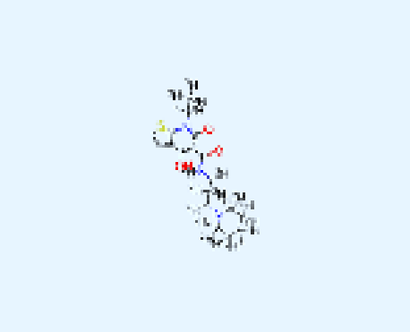 [2H]C(N([2H])C(=O)c1c(O)c2ccsc2n(C([2H])(C)C([2H])([2H])[2H])c1=O)C([2H])([2H])C([2H])N1C([2H])([2H])C([2H])([2H])C([2H])(C)C([2H])([2H])C1([2H])[2H]